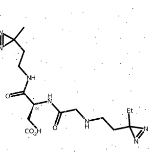 CCC1(CCNCC(=O)N[C@@H](CC(=O)O)C(=O)NCCC2(C)N=N2)N=N1